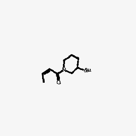 C/C=C\C(=O)N1CCCC(C(C)(C)C)C1